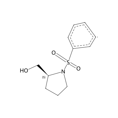 O=S(=O)(c1c[c]ccc1)N1CCC[C@H]1CO